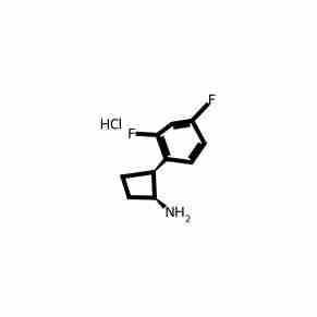 Cl.N[C@H]1CC[C@H]1c1ccc(F)cc1F